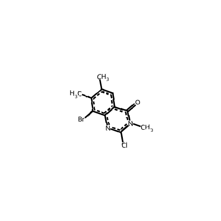 Cc1cc2c(=O)n(C)c(Cl)nc2c(Br)c1C